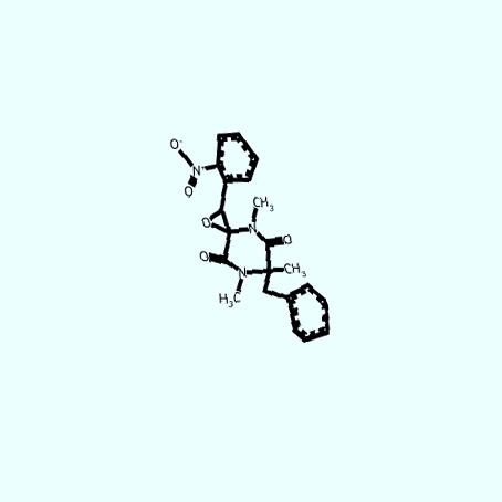 CN1C(=O)C2(OC2c2ccccc2[N+](=O)[O-])N(C)C(=O)C1(C)Cc1ccccc1